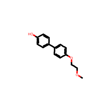 COCCOc1ccc(-c2ccc(O)cc2)cc1